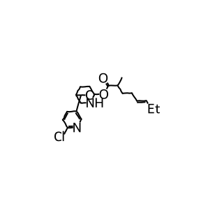 CCC=CCCC(C)C(=O)OC12CCC(CN1)C(c1ccc(Cl)nc1)C2